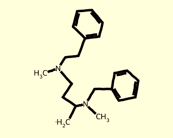 [CH2]C(CCN(C)CCc1ccccc1)N(C)Cc1ccccc1